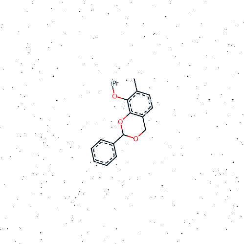 Cc1ccc2c(c1OC(C)C)OC(c1ccccc1)OC2